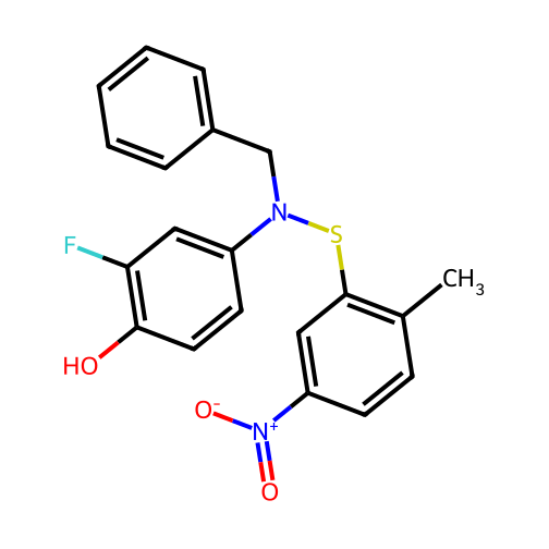 Cc1ccc([N+](=O)[O-])cc1SN(Cc1ccccc1)c1ccc(O)c(F)c1